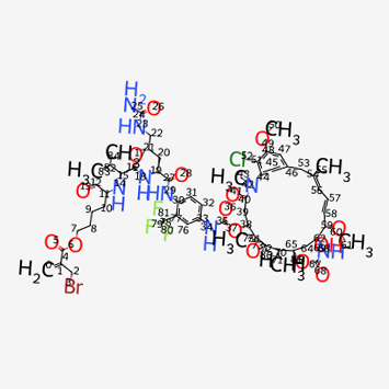 C=C(CBr)C(=O)OCCCCC(C=O)N[C@H](C(=O)N[C@@H](CCCNC(N)=O)C(=O)Nc1ccc(NC(=O)O[C@H]2CC(=O)N(C)c3cc(cc(OC)c3Cl)C/C(C)=C/C=C/[C@@H](OC)[C@@]3(O)C[C@H](OC(=O)N3)[C@@H](C)[C@@H]3O[C@@]23C)cc1C(F)(F)F)C(C)C